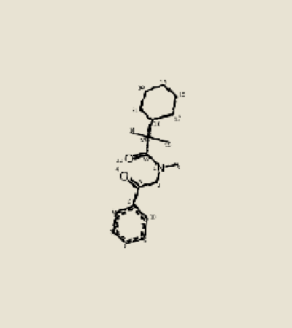 CN(CC(=O)c1ccccc1)C(=O)C(C)(C)C1CCCCC1